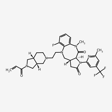 C=CC(=O)N1C[C@H]2CN(CCN3C[C@H]4CC(=O)N(c5cc(C(F)(F)F)cc(C)n5)[C@@H]4C(=O)N(C)c4cccc(F)c43)CC[C@H]2C1